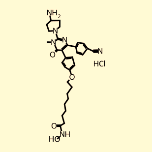 Cl.Cn1c(N2CCC(N)CC2)nc(-c2ccc(C#N)cc2)c(-c2ccc(OCCCCCCCCC(=O)NO)cc2)c1=O